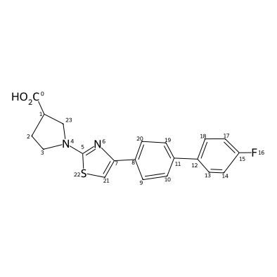 O=C(O)C1CCN(c2nc(-c3ccc(-c4ccc(F)cc4)cc3)cs2)C1